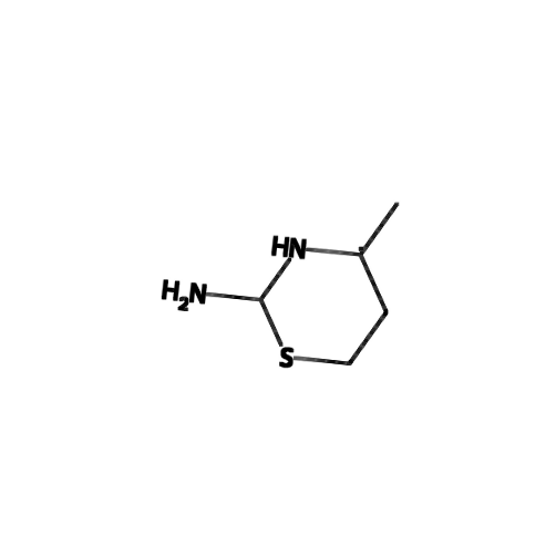 C[C]1CCSC(N)N1